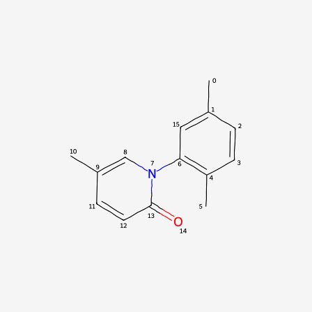 Cc1ccc(C)c(-n2cc(C)ccc2=O)c1